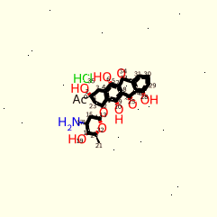 CC(=O)[C@]1(O)Cc2c(O)c3c(c(O)c2[C@@H](O[C@H]2C[C@H](N)[C@H](O)[C@H](C)O2)C1)C(=O)c1c(O)cccc1C3=O.Cl